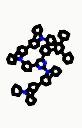 c1ccc(-c2cc(-c3ccccc3)cc(-c3cccc(-c4cc(-c5cccc(-n6c7ccccc7c7ccc(-c8ccc9c(c8)c8ccccc8n9-c8ccccc8)cc76)c5)nc(-n5c6ccccc6c6ccc(-c7ccc8c(c7)c7ccccc7n8-c7ccccc7)cc65)n4)c3)c2)cc1